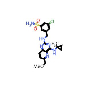 COCc1ccc2nc(NCc3cc(Cl)cc(S(N)(=O)=O)c3)nc(NC3(C(F)(F)F)CC3)c2n1